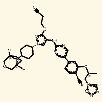 C[C@@H](Cn1cnnn1)Oc1cc(-c2cnc(Nc3cn([C@H]4CC[C@H](N5[C@@H]6CC[C@H]5COC6)CC4)nc3OCCC#N)nc2)ccc1C#N